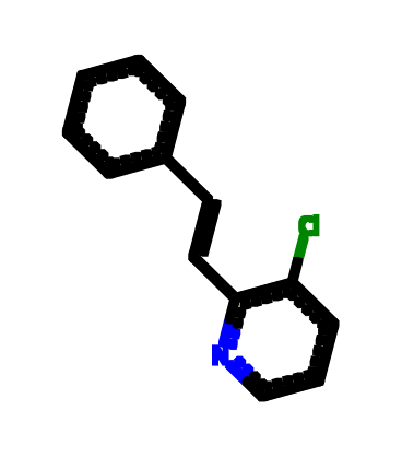 Clc1cccnc1/C=C/c1ccccc1